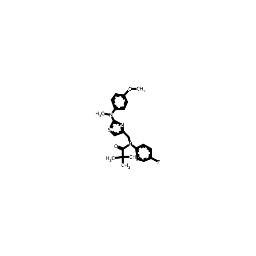 COc1ccc(N(C)c2nc(CN(C(=O)C(C)(C)C)c3ccc(F)cc3)cs2)cc1